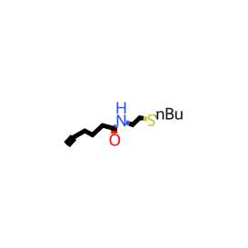 C#CCCCC(=O)NCCSCCCC